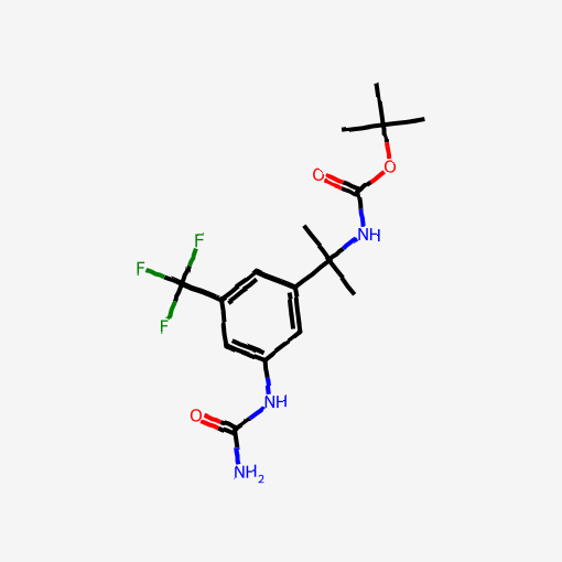 CC(C)(C)OC(=O)NC(C)(C)c1cc(NC(N)=O)cc(C(F)(F)F)c1